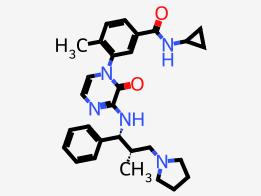 Cc1ccc(C(=O)NC2CC2)cc1-n1ccnc(N[C@@H](c2ccccc2)[C@@H](C)CN2CCCC2)c1=O